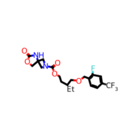 CC[C@@H](CCOC(=O)N1CC2(COC(=O)N2)C1)COCc1ccc(C(F)(F)F)cc1F